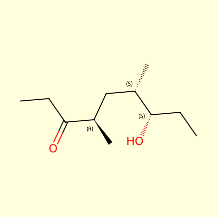 CCC(=O)[C@H](C)C[C@H](C)[C@@H](O)CC